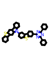 c1ccc(-c2nc(-c3ccccc3)nc(-c3ccc4c(c3)sc3ccc(-n5c6ccccc6c6cc7sc8ccccc8c7cc65)cc34)n2)cc1